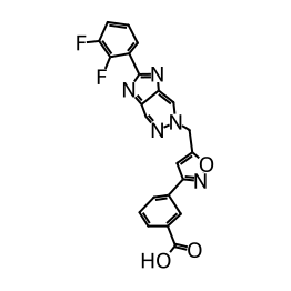 O=C(O)c1cccc(-c2cc(Cn3cc4nc(-c5cccc(F)c5F)nc-4cn3)on2)c1